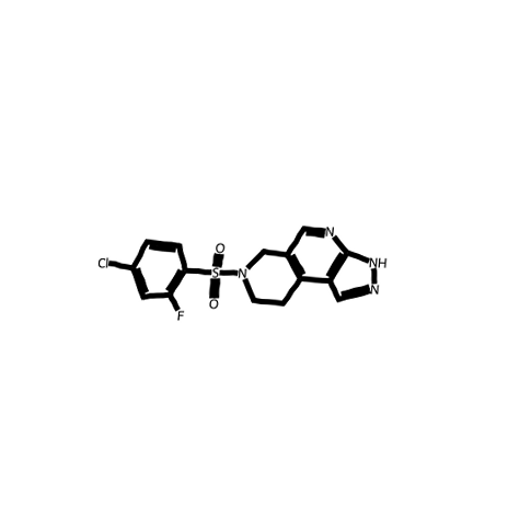 O=S(=O)(c1ccc(Cl)cc1F)N1CCc2c(cnc3[nH]ncc23)C1